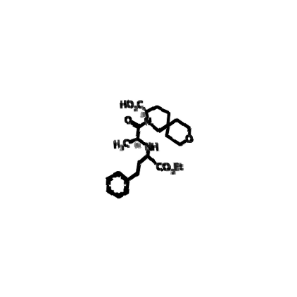 CCOC(=O)C(CCc1ccccc1)N[C@@H](C)C(=O)N1CC2(CCOCC2)CC[C@H]1C(=O)O